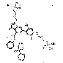 CCc1cc(OCOCC[Si](C)(C)C)c(F)cc1-c1cc2c(c(I)nn2COCC[Si](C)(C)C)c(NCc2ccccc2N(C)S(=O)(=O)c2ccccc2)n1